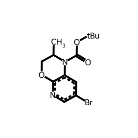 CC1COc2ncc(Br)cc2N1C(=O)OC(C)(C)C